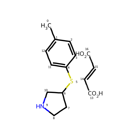 Cc1ccc(SC2CCNC2)cc1.O=C(O)C=CC(=O)O